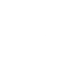 c1ccc(C2(c3ccccc3)CC(c3ccccc3)(c3ccccc3)C2[Si]C2CCC2)cc1